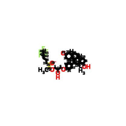 CC(OCC(O)COc1ccc([C@H]2C[C@]3(C)[C@@H](O)CC[C@H]3[C@@H]3CC[C@H]4CC(=O)CC[C@]4(C)[C@H]32)cc1)[S+]([O-])CCCC(F)(F)C(F)(F)F